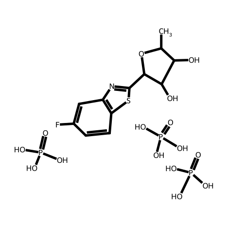 CC1OC(c2nc3cc(F)ccc3s2)C(O)C1O.O=P(O)(O)O.O=P(O)(O)O.O=P(O)(O)O